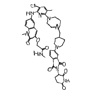 CNC(=O)COc1cc2cc(Nc3nc(N4CCN(CC5CCN(c6ccc7c(c6)C(=O)N(C6CCC(=O)NC6=O)C7=O)CC5)CC4)c(C)cc3Cl)ccc2n(C)c1=O